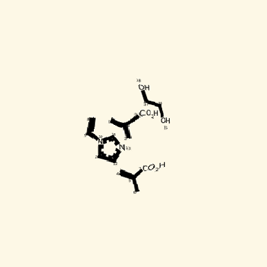 C=C(C)C(=O)O.C=C(C)C(=O)O.C=Cn1ccnc1.OCCO